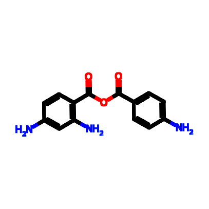 Nc1ccc(C(=O)OC(=O)c2ccc(N)cc2N)cc1